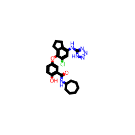 O=C(NC1CCCCCC1)c1cc(Oc2c(Cl)cc(Nc3nnn[nH]3)c3c2CCC3)ccc1O